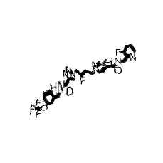 O=C(NCc1ncccc1F)c1cn(CCC(F)Cn2cc(C(=O)NCc3cccc(OC(F)(F)F)c3)nn2)nn1